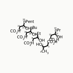 CC(O)CC(=O)O.CCC(O)CC(=O)O.CCCC(O)CC(=O)O.CCCCC(O)CC(=O)O.CCCCCC(O)CC(=O)O